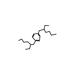 CCCCC(CC)Cc1ccc(CC(CC)CCCC)cc1